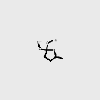 CCCOC1(OCCC)CCC(C)O1